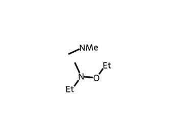 CCON(C)CC.CNC